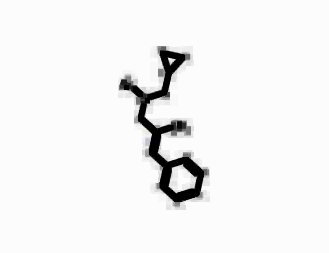 CC(=O)N(C/C(C)=C/c1ccccc1)CC1CC1